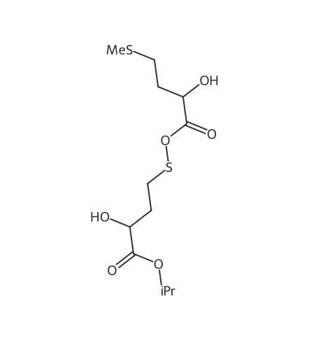 CSCCC(O)C(=O)OSCCC(O)C(=O)OC(C)C